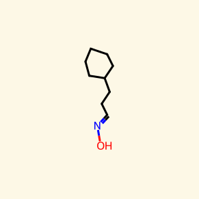 ON=CCCC1CCCCC1